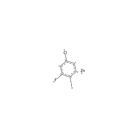 Fc1cc(Cl)ccc1I.[Zn]